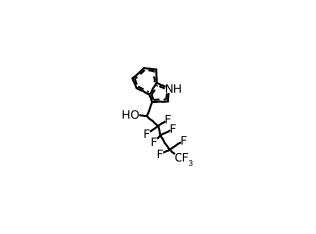 OC(c1c[nH]c2ccccc12)C(F)(F)C(F)(F)C(F)(F)C(F)(F)F